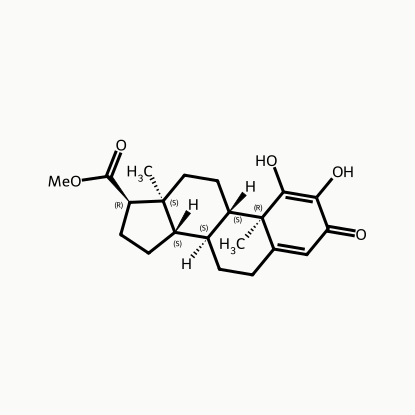 COC(=O)[C@@H]1CC[C@H]2[C@@H]3CCC4=CC(=O)C(O)=C(O)[C@]4(C)[C@H]3CC[C@]12C